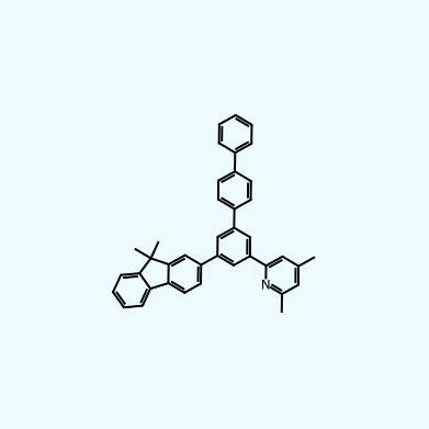 Cc1cc(C)nc(-c2cc(-c3ccc(-c4ccccc4)cc3)cc(-c3ccc4c(c3)C(C)(C)c3ccccc3-4)c2)c1